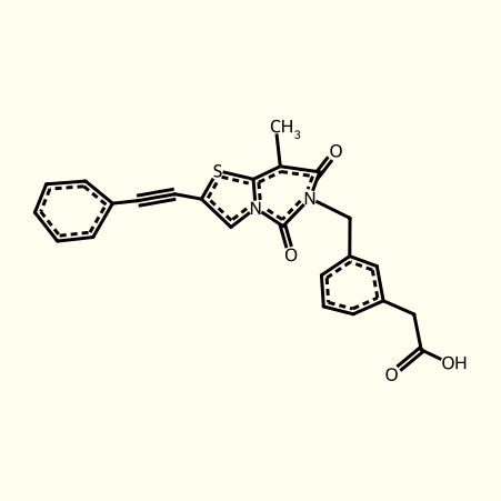 Cc1c(=O)n(Cc2cccc(CC(=O)O)c2)c(=O)n2cc(C#Cc3ccccc3)sc12